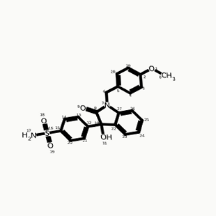 COc1ccc(CN2C(=O)C(O)(c3ccc(S(N)(=O)=O)cc3)c3ccccc32)cc1